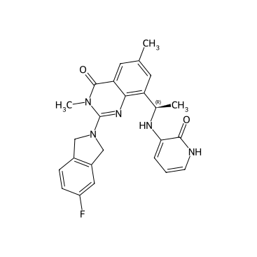 Cc1cc([C@@H](C)Nc2ccc[nH]c2=O)c2nc(N3Cc4ccc(F)cc4C3)n(C)c(=O)c2c1